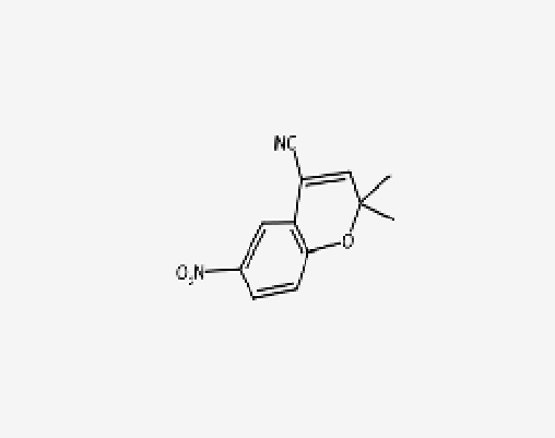 CC1(C)C=C(C#N)c2cc([N+](=O)[O-])ccc2O1